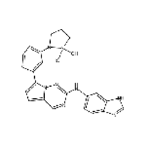 OS1(O)CCCN1c1cccc(-c2ccc3cnc(Nc4ccc5nc[nH]c5c4)nn23)c1